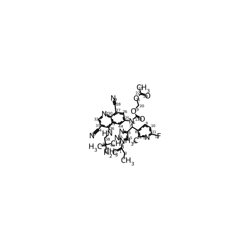 C=C(CC)n1cc([C@H](c2ccc(F)nc2C)N(C(=O)OCOC(C)=O)c2cc(C#N)c3ncc(C#N)c(NCC(C)(C)C)c3c2)nn1